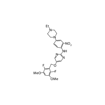 CCN1CCN(c2ccc(Nc3ncc(OCc4c(F)c(OC)cc(OC)c4F)cn3)c([N+](=O)[O-])c2)CC1